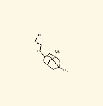 CC12CC3CC(C)(C1)CC(NCCO)(C3)C2